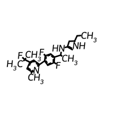 CCC1CC(NC(C)c2cc(F)c(-c3cc(C(C)(C)F)cc(C)n3)cc2F)=CN1